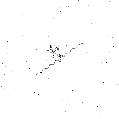 CCCCCCCCOCCCCCCCC.O=P(O)(O)O.[KH]